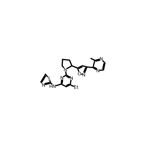 CCc1cc(Nc2nccs2)nc(N2CCCC2c2cc(-c3nccnc3C)no2)n1